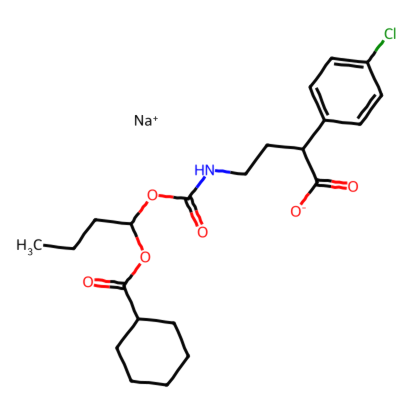 CCCC(OC(=O)NCCC(C(=O)[O-])c1ccc(Cl)cc1)OC(=O)C1CCCCC1.[Na+]